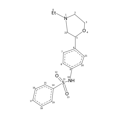 CCN1CCOC(c2ccc(NS(=O)(=O)c3ccccc3)cc2)C1